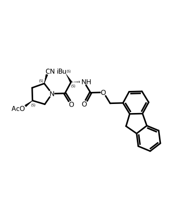 CC[C@H](C)[C@H](NC(=O)OCc1cccc2c1Cc1ccccc1-2)C(=O)N1C[C@@H](OC(C)=O)C[C@H]1C#N